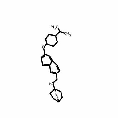 CC(C)C1CCC(Oc2ccc3cc(CNC45CCC(CC4)CC5)ccc3c2)CC1